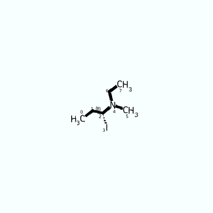 CC[C@@H](I)N(C)CC